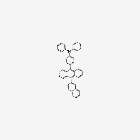 c1ccc(N(c2ccccc2)c2ccc(-c3c4ccccc4c(-c4ccc5ccccc5c4)c4ccccc34)cc2)cc1